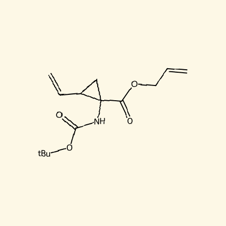 C=CCOC(=O)C1(NC(=O)OC(C)(C)C)CC1C=C